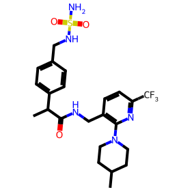 CC1CCN(c2nc(C(F)(F)F)ccc2CNC(=O)C(C)c2ccc(CNS(N)(=O)=O)cc2)CC1